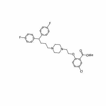 COC(=O)c1cc(Cl)ccc1OCCN1CCN(CCCC(c2ccc(F)cc2)c2ccc(F)cc2)CC1